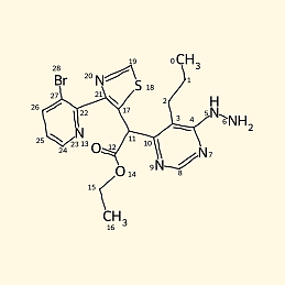 CCCc1c(NN)ncnc1C(C(=O)OCC)c1scnc1-c1ncccc1Br